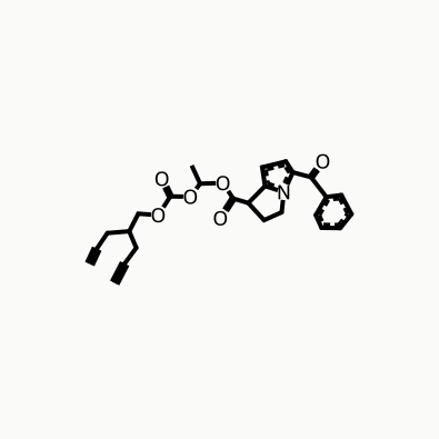 C#CCC(CC#C)COC(=O)OC(C)OC(=O)C1CCn2c(C(=O)c3ccccc3)ccc21